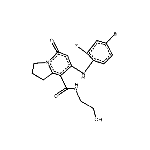 O=C(NCCO)c1c(Nc2ccc(Br)cc2F)cc(=O)n2c1CCC2